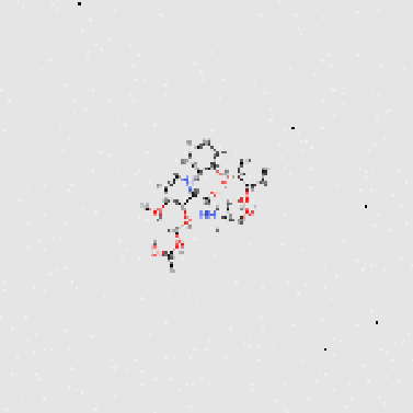 C=C[C@@H](OC[C@@](C)(C=O)NC(=O)c1nccc(OC)c1OCOC(C)=O)[C@H](C)Oc1ccccc1